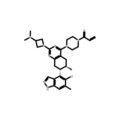 C=CC(=O)N1CCN(c2nc(N3CC(N(C)C)C3)nc3c2C[C@@H](C)[C@H](c2c(Cl)c(C)cc4[nH]ncc24)C3)CC1